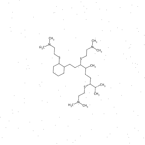 CC(C)C(CCC(C)C(CCC1CCCCC1SCCN(C)C)SCCN(C)C)SCCN(C)C